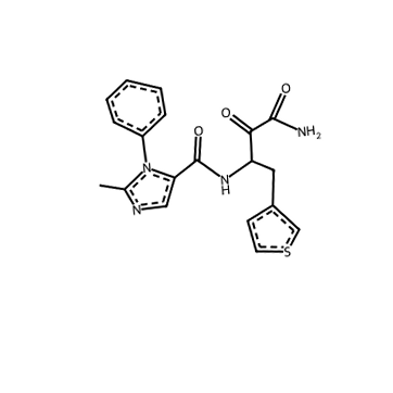 Cc1ncc(C(=O)NC(Cc2ccsc2)C(=O)C(N)=O)n1-c1ccccc1